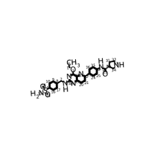 CCOc1nc(NCc2ccc(S(N)(=O)=O)cc2)nc2ccc(-c3ccc(NC(=O)[C@H]4CCNC4)cc3)nc12